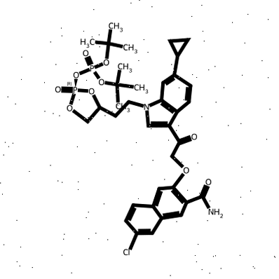 CC(C)(C)OP(=O)(OC(C)(C)C)O[P@]1(=O)OCC(CCn2cc(C(=O)COc3cc4ccc(Cl)cc4cc3C(N)=O)c3ccc(C4CC4)cc32)O1